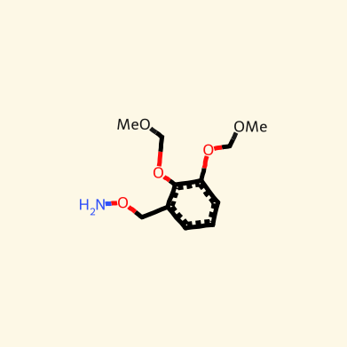 COCOc1cccc(CON)c1OCOC